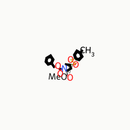 COC(=O)[C@H]1C[C@@H](S(=O)(=O)c2ccc(C)cc2)CN1C(=O)OCc1ccccc1